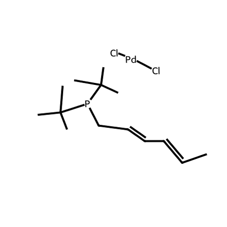 CC=CC=CCP(C(C)(C)C)C(C)(C)C.[Cl][Pd][Cl]